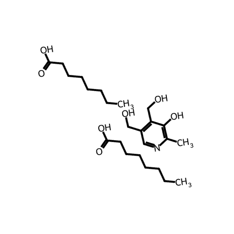 CCCCCCCC(=O)O.CCCCCCCC(=O)O.Cc1ncc(CO)c(CO)c1O